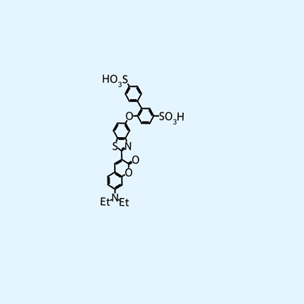 CCN(CC)c1ccc2cc(-c3nc4cc(Oc5ccc(S(=O)(=O)O)cc5-c5ccc(S(=O)(=O)O)cc5)ccc4s3)c(=O)oc2c1